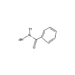 CCCCN(CC)C(=O)c1ccccc1